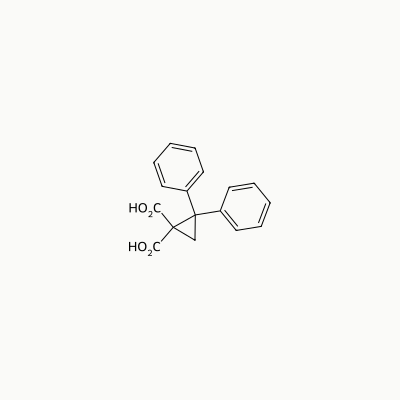 O=C(O)C1(C(=O)O)CC1(c1ccccc1)c1ccccc1